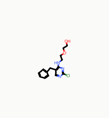 OCCOCCNc1nc(Cl)ncc1Cc1ccccc1